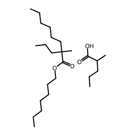 CCCC(C)C(=O)O.CCCCCCCOC(=O)C(C)(CCC)CCCCCC